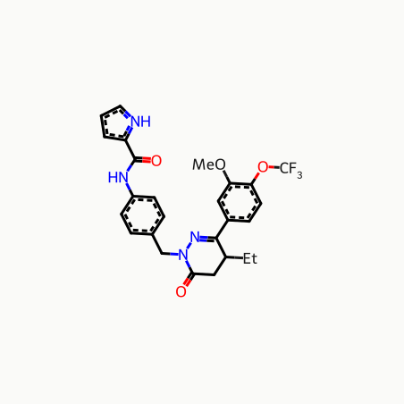 CCC1CC(=O)N(Cc2ccc(NC(=O)c3ccc[nH]3)cc2)N=C1c1ccc(OC(F)(F)F)c(OC)c1